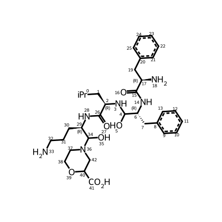 CC(C)C[C@@H](NC(O)[C@@H](Cc1ccccc1)NC(=O)[C@H](N)Cc1ccccc1)C(=O)N[C@H](CCCN)C(O)N1CCOC(C(=O)O)C1